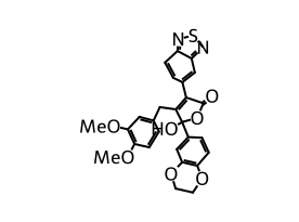 COc1ccc(CC2=C(c3ccc4nsnc4c3)C(=O)OC2(O)c2ccc3c(c2)OCCO3)cc1OC